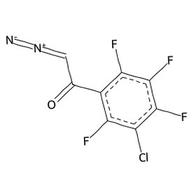 [N-]=[N+]=CC(=O)c1c(F)c(F)c(F)c(Cl)c1F